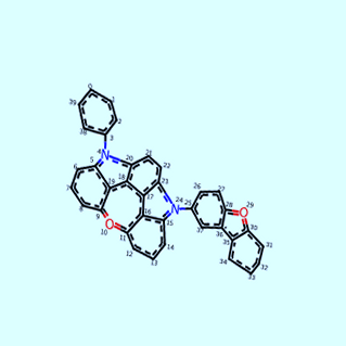 c1ccc(-n2c3cccc4oc5cccc6c5c5c(c43)c2ccc5n6-c2ccc3oc4ccccc4c3c2)cc1